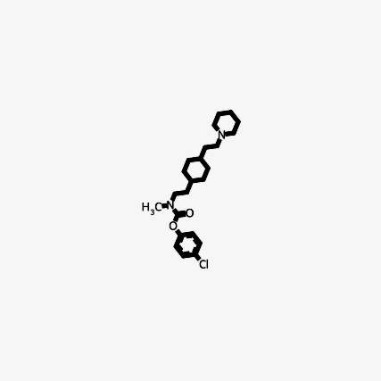 CN(CCC1CCC(CCN2CCCCC2)CC1)C(=O)Oc1ccc(Cl)cc1